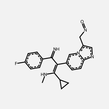 CN/C(=C(\C(=N)c1ccc(F)cc1)c1ccc2ncc(CN=O)n2c1)C1CC1